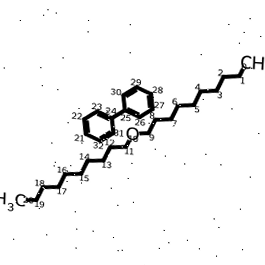 CCCCCCCCCCOCCCCCCCCCC.c1ccc(-c2ccccc2)cc1